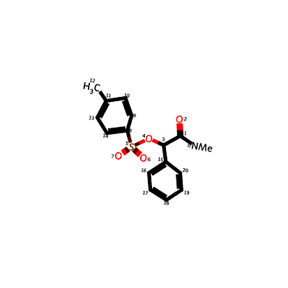 CNC(=O)C(OS(=O)(=O)c1ccc(C)cc1)c1ccccc1